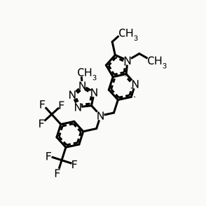 CCc1cc2cc(CN(Cc3cc(C(F)(F)F)cc(C(F)(F)F)c3)c3nnn(C)n3)[c]nc2n1CC